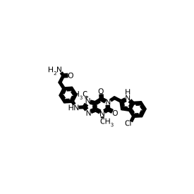 Cn1c(Nc2ccc(CC(N)=O)cc2)nc2c1c(=O)n(Cc1cc3c(Cl)cccc3[nH]1)c(=O)n2C